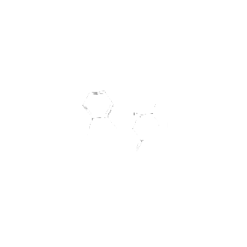 Cc1ccccc1C[C@H](NC(C)C)C(=O)O